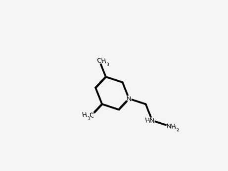 CC1CC(C)CN(CNN)C1